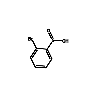 O=S(O)c1ccccc1Br